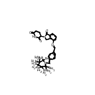 BC1(B)N(Cc2ccc(COc3cccc4c3CN(C3CCC(=O)NC3=O)C4=O)cc2)C(B)(B)C(B)(B)C(B)(B)C1(B)B